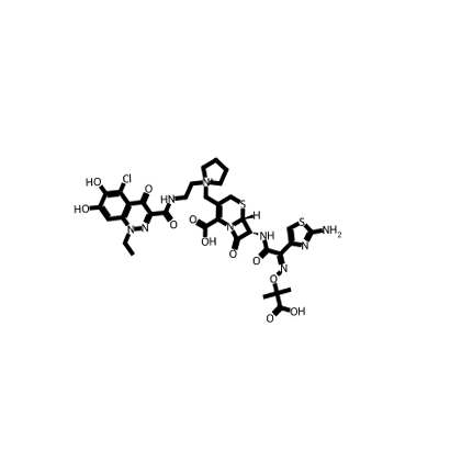 CCn1nc(C(=O)NCC[N+]2(CC3=C(C(=O)O)N4C(=O)[C@@H](NC(=O)/C(=N\OC(C)(C)C(=O)O)c5csc(N)n5)[C@H]4SC3)CCCC2)c(=O)c2c(Cl)c(O)c(O)cc21